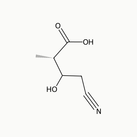 C[C@H](C(=O)O)C(O)CC#N